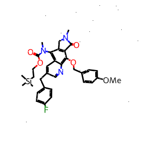 COc1ccc(COc2c3c(c(N(C)C(=O)OCC[Si](C)(C)C)c4cc(Cc5ccc(F)cc5)cnc24)CN(C)C3=O)cc1